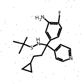 CC(C)(C)SNC(CCC1CC1)(c1ccncc1)c1ccc(F)c(N)c1